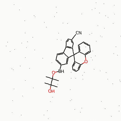 CC(C)(O)C(C)(C)OBc1ccc2c(c1)C1(c3ccccc3Oc3ccccc31)c1cc(C#N)ccc1-2